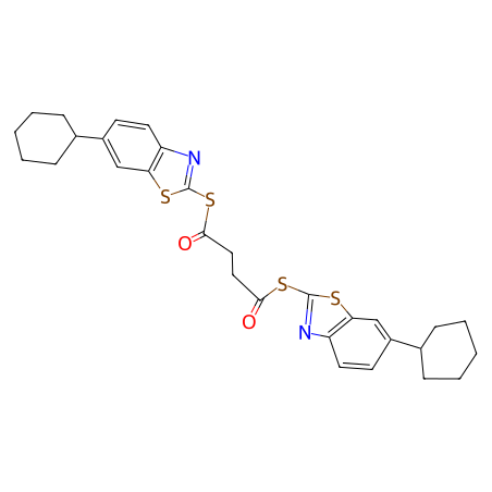 O=C(CCC(=O)Sc1nc2ccc(C3CCCCC3)cc2s1)Sc1nc2ccc(C3CCCCC3)cc2s1